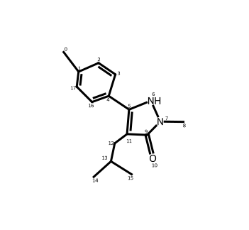 Cc1ccc(-c2[nH]n(C)c(=O)c2CC(C)C)cc1